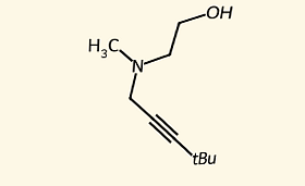 CN(CC#CC(C)(C)C)CCO